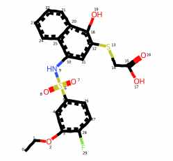 CCOc1cc(S(=O)(=O)Nc2cc(SCC(=O)O)c(O)c3ccccc23)ccc1F